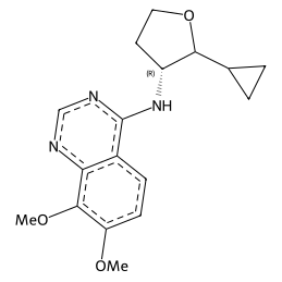 COc1ccc2c(N[C@@H]3CCOC3C3CC3)ncnc2c1OC